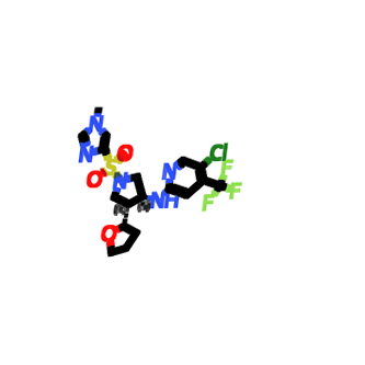 Cn1cnc(S(=O)(=O)N2C[C@@H](Nc3cc(C(F)(F)F)c(Cl)cn3)[C@H](C3CCCO3)C2)c1